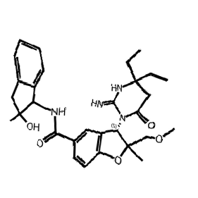 CCC1(CC)CC(=O)N([C@H]2c3cc(C(=O)NC4c5ccccc5CC4(C)O)ccc3OC2(C)COC)C(=N)N1